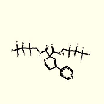 O=C(NCC(F)(F)C(F)(F)C(F)(F)F)C1(C(=O)NCC(F)(F)C(F)(F)C(F)(F)F)C=C(c2ccncc2)C=CN1